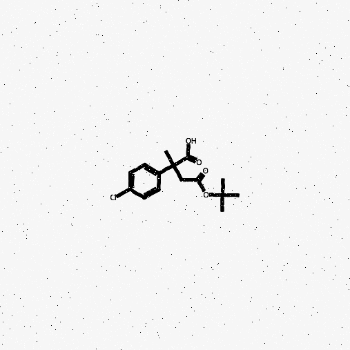 CC(C)(C)OC(=O)CC(C)(C(=O)O)c1ccc(Cl)cc1